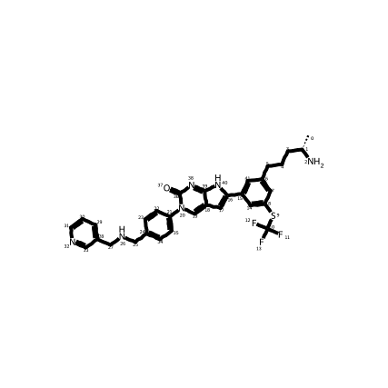 C[C@H](N)CCCc1cc(SC(F)(F)F)cc(-c2cc3cn(-c4ccc(CNCc5cccnc5)cc4)c(=O)nc3[nH]2)c1